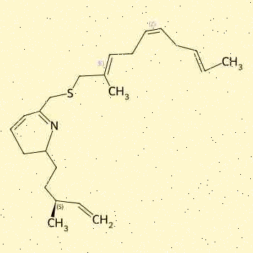 C=C[C@@H](C)CCC1CC=CC(CSC/C(C)=C/C/C=C\CC=CC)=N1